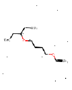 C=COCCCCOC(COC)COC